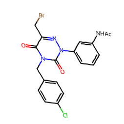 CC(=O)Nc1cccc(-n2nc(CBr)c(=O)n(Cc3ccc(Cl)cc3)c2=O)c1